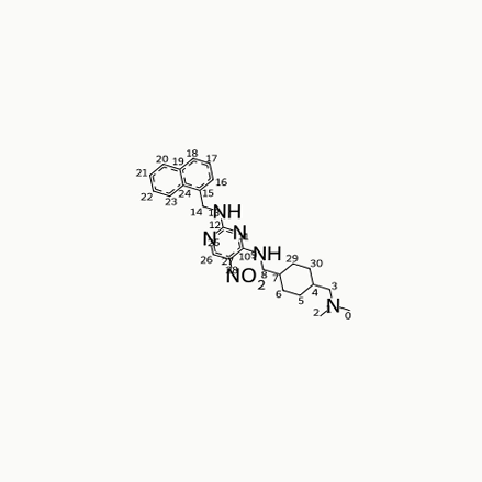 CN(C)CC1CCC(CNc2nc(NCc3cccc4ccccc34)ncc2[N+](=O)[O-])CC1